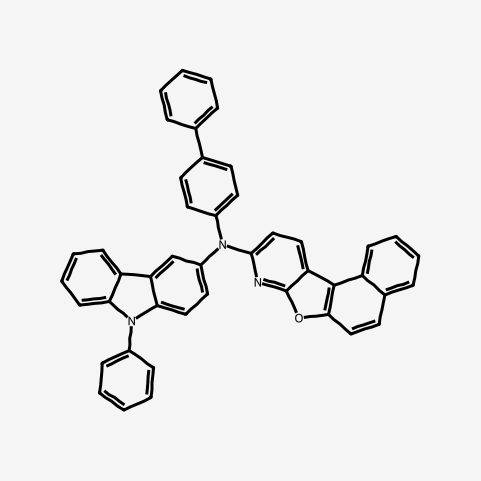 c1ccc(-c2ccc(N(c3ccc4c(c3)c3ccccc3n4-c3ccccc3)c3ccc4c(n3)oc3ccc5ccccc5c34)cc2)cc1